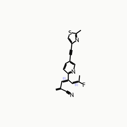 C=C(C#N)/C=C(\C=C(/C)F)c1ccc(C#Cc2csc(C)n2)cn1